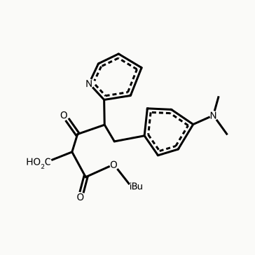 CCC(C)OC(=O)C(C(=O)O)C(=O)C(Cc1ccc(N(C)C)cc1)c1ccccn1